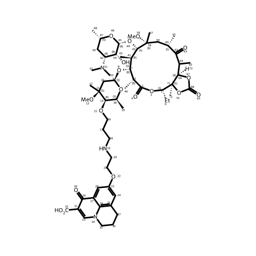 CC[C@@H]1OC(=O)[C@H](C)[C@H](O[C@@H]2C[C@](C)(OC)[C@H](OCCCNCCOc3cc4c5c(c3)c(=O)c(C(=O)O)cn5CCC4)[C@H](C)O2)[C@@H](C)[C@H](O[C@H]2O[C@@H](C)C[C@@H](N(C)C)[C@H]2O)[C@](C)(OC)C[C@H](C)C(=O)C(C)[C@H]2OC(=O)O[C@@]12C